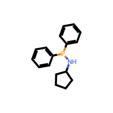 c1ccc(P(NC2CCCC2)c2ccccc2)cc1